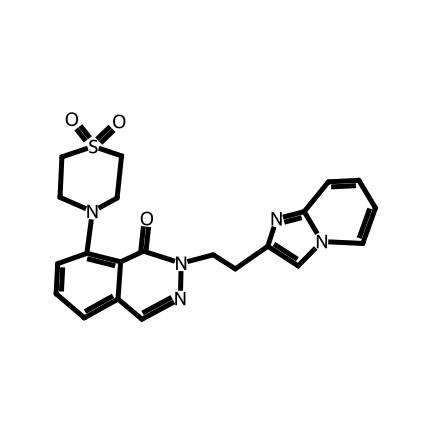 O=c1c2c(N3CCS(=O)(=O)CC3)cccc2cnn1CCc1cn2ccccc2n1